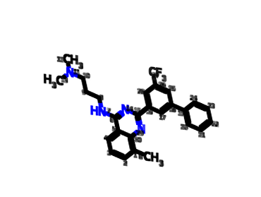 Cc1cccc2c(NCCCN(C)C)nc(-c3cc(-c4ccccc4)cc(C(F)(F)F)c3)nc12